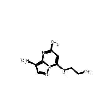 Cc1cc(NCCO)n2ncc([N+](=O)[O-])c2n1